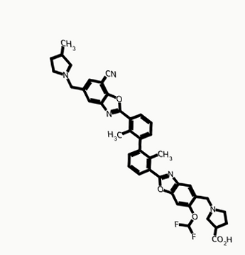 Cc1c(-c2nc3cc(CN4CCC(C(=O)O)C4)c(OC(F)F)cc3o2)cccc1-c1cccc(-c2nc3cc(CN4CCC(C)C4)cc(C#N)c3o2)c1C